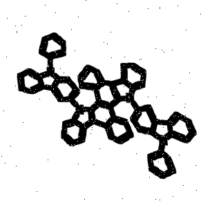 c1ccc(-n2c3ccccc3c3cc(-n4c5ccccc5c5c6ccccc6c6c(c7ccccc7c7c8ccccc8n(-c8ccc9c(c8)c8ccccc8n9-c8ccccc8)c76)c54)ccc32)cc1